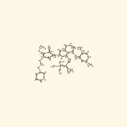 CCn1c(COCc2ccccc2)nn(-c2cc(O[C@@H](C)C(F)(F)F)c3c(Oc4cc(C)ccc4Cl)nccc3c2)c1=O